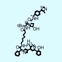 Cc1ncsc1-c1ccc([C@H](C)NC(=O)[C@@H]2C[C@@H](O)CN2C(=O)[C@@H](NC(=O)CCCCCCNC(=O)C(c2ccccc2)n2cc(-c3cc(-c4ccccc4O)nnc3N)cn2)C(C)(C)C)cc1